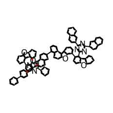 c1ccc(-c2ccc(-c3nc(-c4ccccc4)nc(-c4cccc5oc6cccc(-c7cccc8c7oc7c9ccc(-c%10cccc%11c%10ccc%10oc%12c(-c%13ccc%14oc%15ccccc%15c%14c%13-c%13nc(-c%14ccc%15ccccc%15c%14)nc(-c%14ccc%15ccccc%15c%14)n%13)cccc%12c%10%11)cc9ccc87)c6c45)n3)cc2)cc1